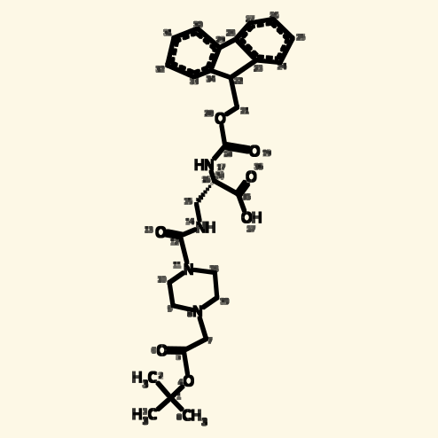 CC(C)(C)OC(=O)CN1CCN(C(=O)NC[C@H](NC(=O)OCC2c3ccccc3-c3ccccc32)C(=O)O)CC1